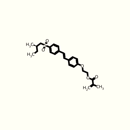 C=C(C)C(=O)OCCOc1ccc(C=Cc2ccc(S(=O)(=O)C[C@H](C)CC)cc2)cc1